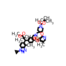 COC(=O)C(C)(C)C(c1ccc(C)c(CN2CC3(CCN(C(=O)OC(C)(C)C)CC3)Oc3ncc(C)cc3S2(=O)=O)c1)c1ccc2c(nnn2C2CC2)c1C